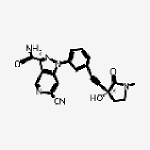 CN1CC[C@@](O)(C#Cc2cccc(-n3nc(C(N)=O)c4cnc(C#N)cc43)c2)C1=O